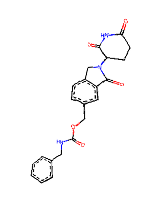 O=C1CCC(N2Cc3ccc(COC(=O)NCc4ccccc4)cc3C2=O)C(=O)N1